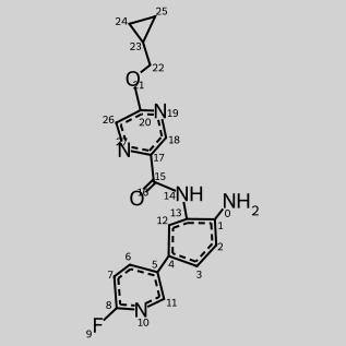 Nc1ccc(-c2ccc(F)nc2)cc1NC(=O)c1cnc(OCC2CC2)cn1